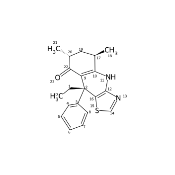 CC[C@@]1(c2ccccc2)C2=C(Nc3ncsc31)[C@H](C)C[C@@H](C)C2=O